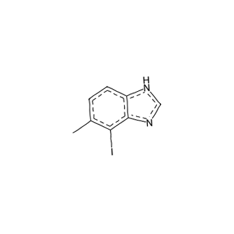 Cc1ccc2[nH]cnc2c1I